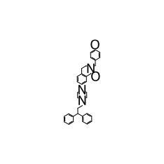 COc1ccc(CN2CCc3ccc(N4CCN(CCC(c5ccccc5)c5ccccc5)CC4)cc3C2=O)cc1